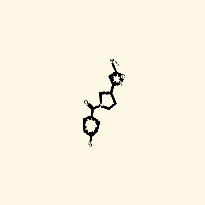 Nc1cc(C2CCN(C(=O)c3ccc(Br)cc3)C2)no1